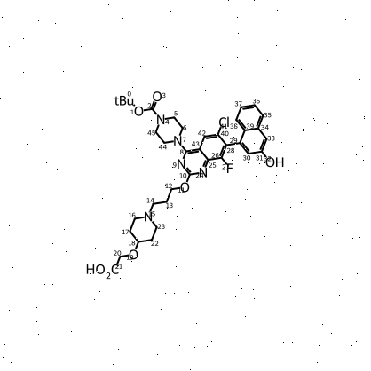 CC(C)(C)OC(=O)N1CCN(c2nc(OCCCN3CCC(OCC(=O)O)CC3)nc3c(F)c(-c4cc(O)cc5ccccc45)c(Cl)cc23)CC1